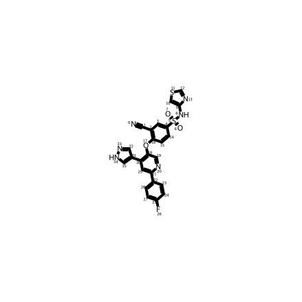 N#Cc1cc(S(=O)(=O)Nc2cscn2)ccc1Oc1cnc(-c2ccc(F)cc2)cc1-c1cn[nH]c1